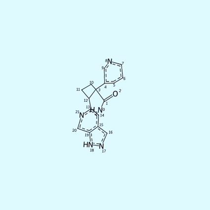 NC(=O)C1(c2cccnc2)CCC1c1cc2cn[nH]c2cn1